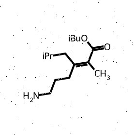 CC(C(=O)OCC(C)C)=C(CCCN)CC(C)C